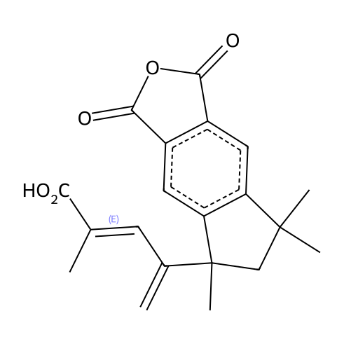 C=C(/C=C(\C)C(=O)O)C1(C)CC(C)(C)c2cc3c(cc21)C(=O)OC3=O